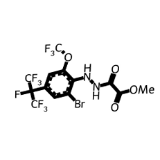 COC(=O)C(=O)NNc1c(Br)cc(C(F)(C(F)(F)F)C(F)(F)F)cc1OC(F)(F)F